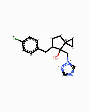 OC1(Cn2cncn2)C(Cc2ccc(Cl)cc2)CCC12CC2